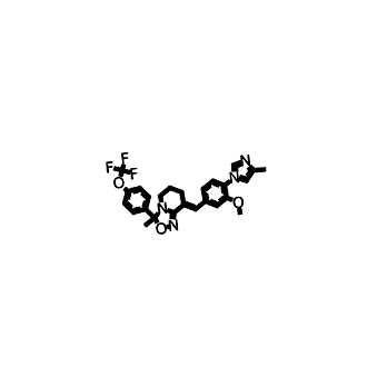 COc1cc(C=C2CCCN3C2=NOC3(C)c2ccc(OC(F)(F)F)cc2)ccc1-n1cnc(C)c1